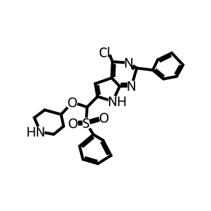 O=S(=O)(c1ccccc1)C(OC1CCNCC1)c1cc2c(Cl)nc(-c3ccccc3)nc2[nH]1